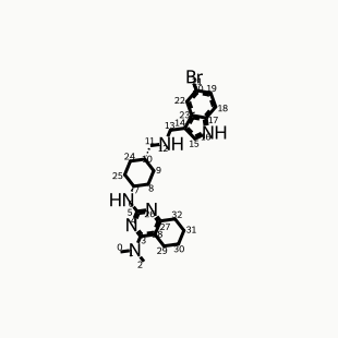 CN(C)c1nc(N[C@H]2CC[C@@H](CNCc3c[nH]c4ccc(Br)cc34)CC2)nc2c1CCCC2